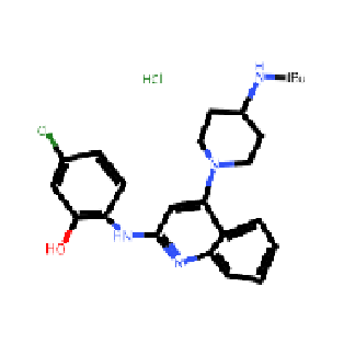 CC(C)(C)NC1CCN(c2cc(Nc3ccc(Cl)cc3O)nc3ccccc23)CC1.Cl